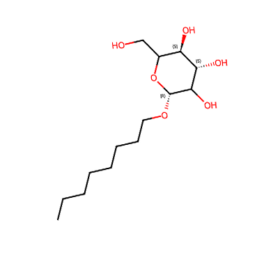 CCCCCCCCO[C@@H]1OC(CO)[C@@H](O)[C@H](O)C1O